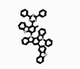 Cc1cc(-n2c3ccccc3c3cc(-c4ccc5oc6ccccc6c5c4)c4c(c5ccccc5n4-c4ccccc4)c32)c2oc3ccccc3c2c1-c1nc(-c2ccccc2)nc(-c2ccccc2)n1